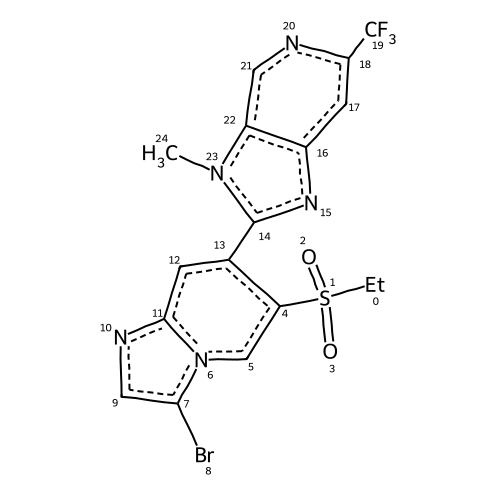 CCS(=O)(=O)c1cn2c(Br)cnc2cc1-c1nc2cc(C(F)(F)F)ncc2n1C